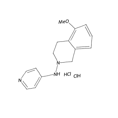 COc1cccc2c1CCN(Nc1ccncc1)C2.Cl.Cl